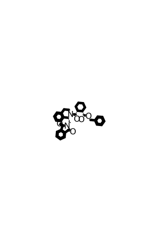 O=C(OCc1ccccc1)[C@H]1CCCC[C@H]1C(=O)N1CCc2ccccc2[C@H]1CN1C(=O)c2ccccc2C1=O